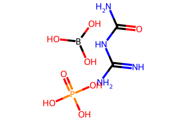 N=C(N)NC(N)=O.O=P(O)(O)O.OB(O)O